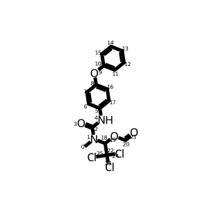 CN(C(=O)Nc1ccc(Oc2ccccc2)cc1)C(OC=O)C(Cl)(Cl)Cl